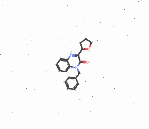 O=c1c(C2CCCO2)nc2ccccc2n1Cc1ccccc1